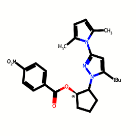 Cc1ccc(C)n1-c1cc(C(C)(C)C)n(C2CCC[C@H]2OC(=O)c2ccc([N+](=O)[O-])cc2)n1